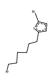 BrCCCCCCc1ccc(Br)s1